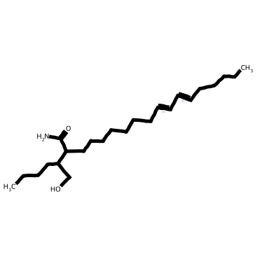 CCCCC/C=C/C=C/CCCCCCCC(C(N)=O)C(CO)CCCC